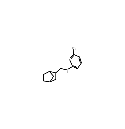 FC(F)(F)c1cccc(NCC2CC3CCC2C3)n1